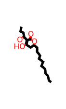 CCCCCCCCCCCC1CC(O)=C(C(=O)CCC)C(=O)O1